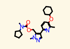 Cc1nc(-c2cnn(C)c2COC(=O)N(C)C2CCCC2)ccc1OC1CCCCC1